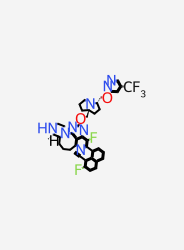 C#Cc1c(F)ccc2cccc(-c3nc4c5c(nc(OC[C@@]67CCCN6[C@H](COc6cc(C(F)(F)F)cnn6)CC7)nc5c3F)N3CCN[C@@H](C)[C@H]3CCC4)c12